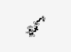 CC(C)[C@H](NC(=O)OC(C)(C)C)C(=O)NCC(C)(C)COS(=O)(=O)CCC[SH](=O)=O